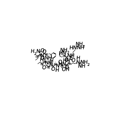 CC[C@H](C)[C@H](NC(=O)[C@H](Cc1ccccc1)NC(=O)[C@@H](NC(=O)[C@H](C)NC(=O)[C@H](C)NC(=O)[C@H](CO)NC(=O)[C@H](CCCNC(=N)N)NC(=O)[C@H](CCCNC(=N)N)NC(=O)[C@H](CCCCN)NC)[C@@H](C)CC)C(N)=O